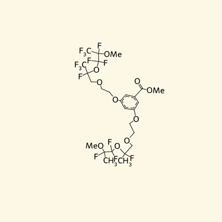 COC(=O)c1cc(OCCOCC(C)(F)OC(F)(F)C(C)(F)OC)cc(OCCOCC(F)(OC(F)(F)C(F)(OC)C(F)(F)F)C(F)(F)F)c1